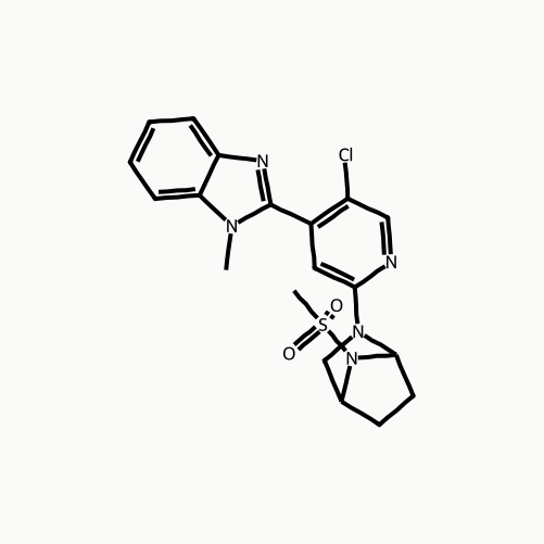 Cn1c(-c2cc(N3CC4CCC3N4S(C)(=O)=O)ncc2Cl)nc2ccccc21